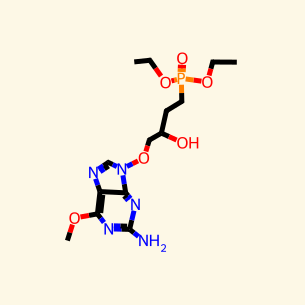 CCOP(=O)(CCC(O)COn1cnc2c(OC)nc(N)nc21)OCC